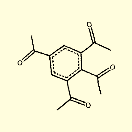 CC(=O)c1[c]c(C(C)=O)c(C(C)=O)c(C(C)=O)c1